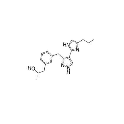 CCCc1c[nH]c(-c2c[nH]nc2Cc2cccc(C[C@H](C)O)c2)n1